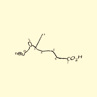 CCCCOC(C)CCCC(=O)O